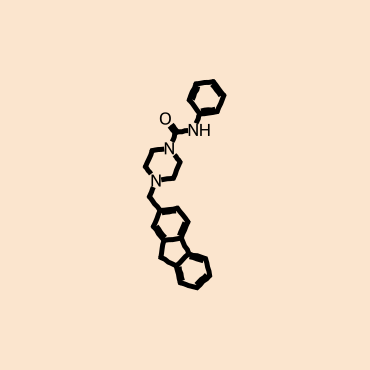 O=C(Nc1ccccc1)N1CCN(Cc2ccc3c(c2)Cc2ccccc2-3)CC1